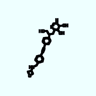 OCC(CC1=C(O)C(O)NC=N1)c1ccc(C#Cc2ccc(CNC3COC3)cc2)cc1